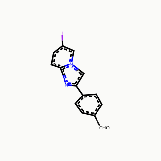 O=Cc1ccc(-c2cn3cc(I)ccc3n2)cc1